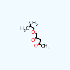 C=C(C)COCC(=O)CC(C)=O